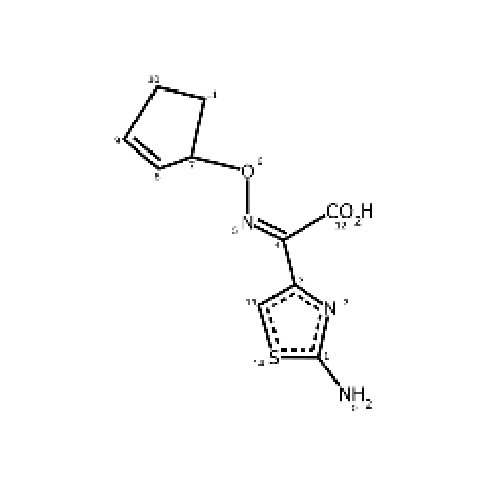 Nc1nc(C(=NOC2C=CCC2)C(=O)O)cs1